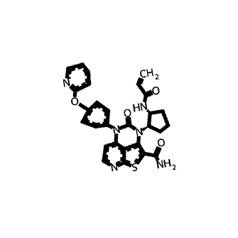 C=CC(=O)N[C@H]1CCC[C@H]1N1C(=O)N(c2ccc(Oc3ccccn3)cc2)c2ccnc3sc(C(N)=O)c1c23